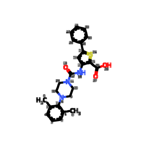 Cc1cccc(C)c1N1CCN(C(=O)Nc2cc(-c3ccccc3)sc2C(=O)O)CC1